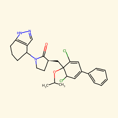 CC(C)OC1(C[C@H]2CCN(C3CCCc4[nH]ncc43)C2=O)C(Cl)=CC(c2ccccc2)=CC1Cl